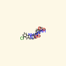 NC1c2cccc(Cl)c2CC1CN1CCC2(CC1)CN(c1ccc3c(n1)NC(=O)CO3)C(=O)O2